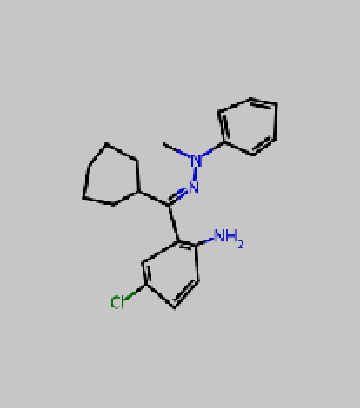 CN(/N=C(/c1cc(Cl)ccc1N)C1CCCCC1)c1ccccc1